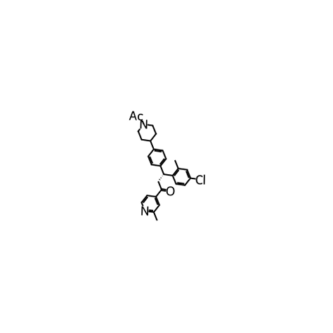 CC(=O)N1CCC(c2ccc([C@@H](CC(=O)c3ccnc(C)c3)c3ccc(Cl)cc3C)cc2)CC1